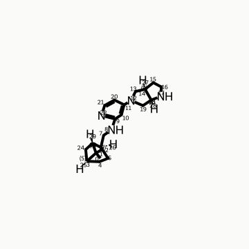 CC1(C)[C@H]2CC[C@H](CNc3cc(N4C[C@H]5CCN[C@H]5C4)ccn3)[C@H]1C2